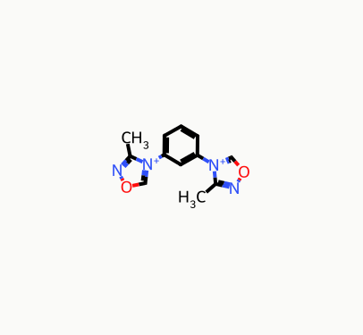 Cc1noc[n+]1-c1cccc(-[n+]2conc2C)c1